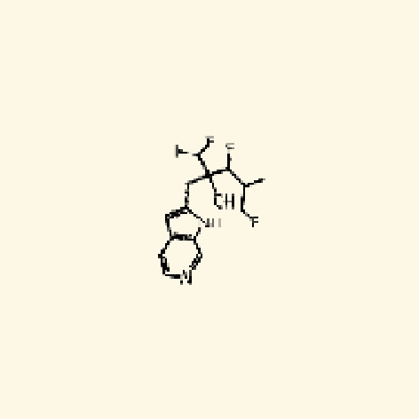 CC(CF)C(F)C(O)(Cc1cc2ccncc2[nH]1)C(F)I